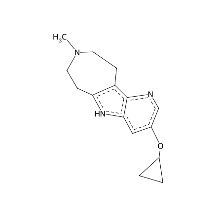 CN1CCc2[nH]c3cc(OC4CC4)cnc3c2CC1